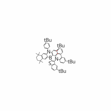 Cc1cc2c3c(c1)N(c1ccc(C(C)(C)C)cc1-c1ccc(C(C)(C)C)cc1)c1c(sc4ccc(C(C)(C)C)cc14)B3c1cc3c(cc1N2c1ccc(C(C)(C)C)cc1)C(C)(C)CCC3(C)C